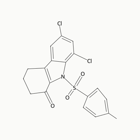 Cc1ccc(S(=O)(=O)n2c3c(c4cc(Cl)cc(Cl)c42)CCCC3=O)cc1